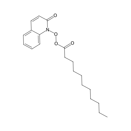 CCCCCCCCCCC(=O)OOn1c(=O)ccc2ccccc21